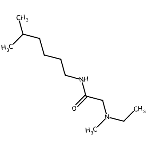 CCN(C)CC(=O)NCCCCC(C)C